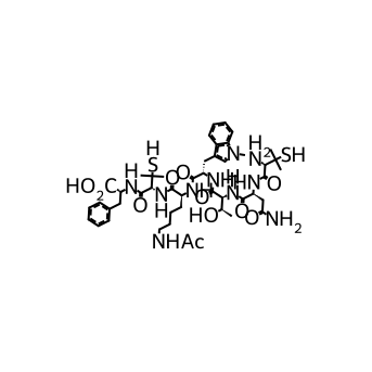 CC(=O)NCCCC[C@H](NC(=O)[C@H](Cc1cn(C)c2ccccc12)NC(=O)[C@@H](NC(=O)[C@H](CC(N)=O)NC(=O)[C@@H](N)C(C)(C)S)[C@@H](C)O)C(=O)N[C@H](C(=O)N[C@@H](Cc1ccccc1)C(=O)O)C(C)(C)S